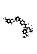 C[C@@H](c1nc2ccc(C(=O)O)cc2n1CC1CCO1)N1CCC(c2cccc(OCc3cc(Cl)ccc3F)n2)CC1